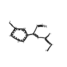 C/C=C(C)\C=C(/C=N)c1cccc(C)c1